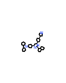 c1ccc2c(-c3nc(-c4ccc(-c5ccncc5)cc4)cc(-c4ccc(-n5c6ccccc6c6ccccc65)cc4)n3)cccc2c1